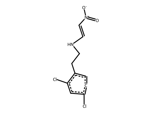 O=[N+]([O-])C=CNCCc1ccc(Cl)cc1Cl